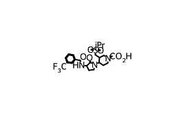 CC(C)S(=O)(=O)CC1CN(C(=O)O)CCC1N1CCC(NC(=O)c2cccc(C(F)(F)F)c2)C1=O